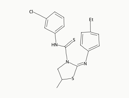 CCc1ccc(/N=C2/SC(C)CN2C(=S)Nc2cccc(Cl)c2)cc1